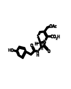 CC(=O)OCC1=C(C(=O)O)N2C(=O)[C@@H](NC(=O)Cc3ccc(O)cc3)[C@H]2SC1